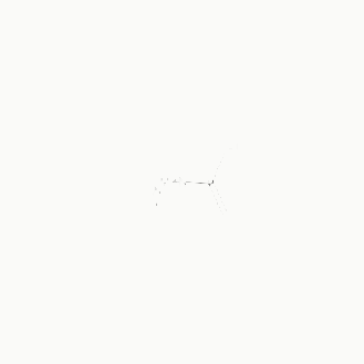 CNC(=O)S.N